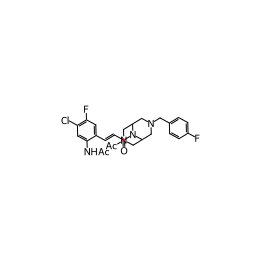 CC(=O)Nc1cc(Cl)c(F)cc1C=CC(=O)N1C2CN(Cc3ccc(F)cc3)CC1CN(C(C)=O)C2